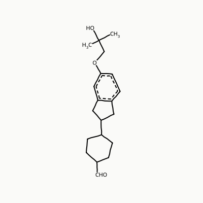 CC(C)(O)COc1ccc2c(c1)CC(C1CCC(C=O)CC1)C2